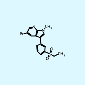 CCS(=O)(=O)c1cccc(-c2cn(C)c3ncc(Br)cc23)c1